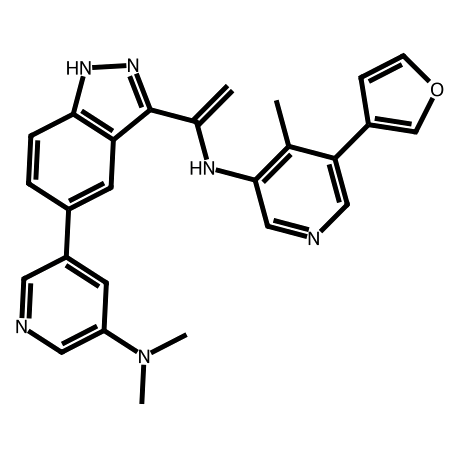 C=C(Nc1cncc(-c2ccoc2)c1C)c1n[nH]c2ccc(-c3cncc(N(C)C)c3)cc12